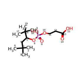 CC(C)(C)CC(OP(=O)(O)OCCC(=O)O)C(C)(C)C